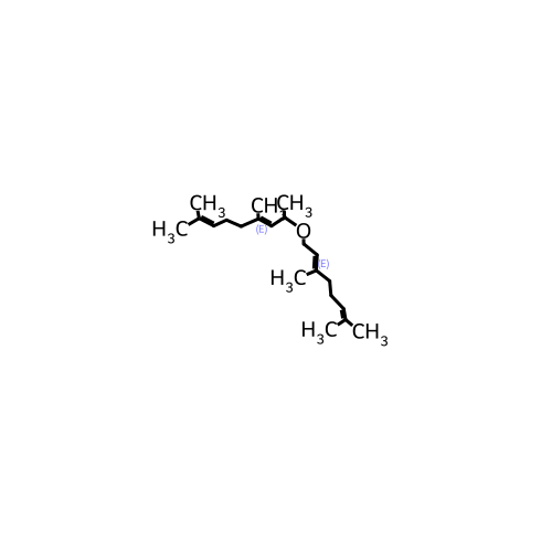 CC(C)=CCC/C(C)=C/COC(C)/C=C(\C)CCC=C(C)C